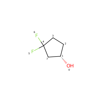 O[C@H]1CCC(F)(F)C1